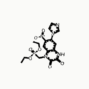 CCOP(=O)(Cn1c(=O)c(=O)[nH]c2cc(-n3ccnc3)c([N+](=O)[O-])cc21)OCC